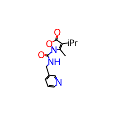 Cc1c(C(C)C)c(=O)on1C(=O)NCc1cccnc1